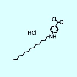 CCCCCCCCCCCCCNc1ccc(C(=O)Cl)cc1.Cl